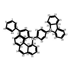 c1ccc(-c2ccc(N(c3ccc(-n4c5ccccc5c5ccccc54)cc3)c3cccc4ccc5ccccc5c34)cc2)cc1